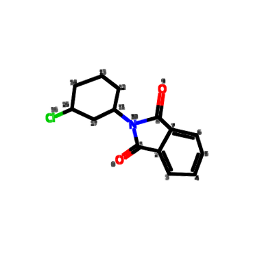 O=C1c2ccccc2C(=O)N1C1CCCC(Cl)C1